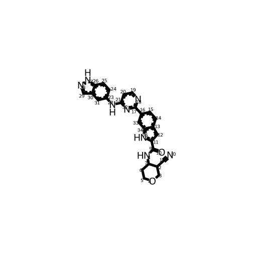 N#CC1COCCC1NC(=O)c1cc2ccc(-c3nccc(Nc4ccc5[nH]ncc5c4)n3)cc2[nH]1